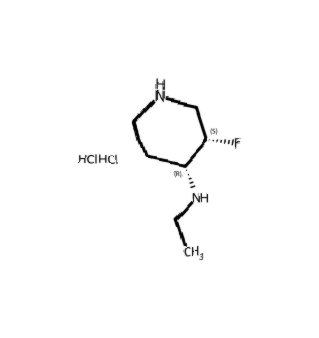 CCN[C@@H]1CCNC[C@@H]1F.Cl.Cl